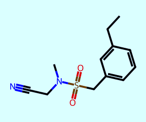 CCc1cccc(CS(=O)(=O)N(C)CC#N)c1